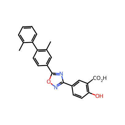 Cc1ccccc1-c1ccc(-c2nc(-c3ccc(O)c(C(=O)O)c3)no2)cc1C